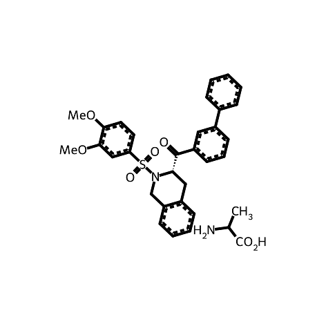 CC(N)C(=O)O.COc1ccc(S(=O)(=O)N2Cc3ccccc3C[C@H]2C(=O)c2cccc(-c3ccccc3)c2)cc1OC